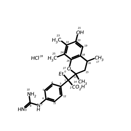 CCC(C(=O)O)(c1ccc(NC(=N)N)cc1)C1(C)CC(C)c2cc(O)c(C)c(C)c2O1.Cl